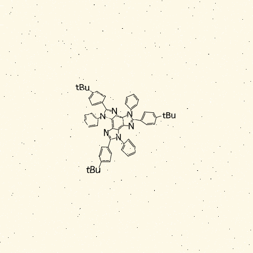 CC(C)(C)c1ccc(-c2nc3c(c4nc(-c5ccc(C(C)(C)C)cc5)n(-c5ccccc5)c4c4nc(-c5ccc(C(C)(C)C)cc5)n(-c5ccccc5)c34)n2-c2ccccc2)cc1